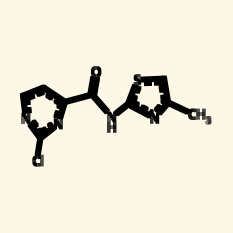 Cc1csc(NC(=O)c2ccnc(Cl)n2)n1